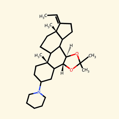 C/C=C1/CCC2C3C(CC[C@]12C)[C@@]1(C)CCC(N2CCCCC2)CC1[C@H]1OC(C)(C)O[C@H]31